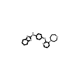 c1cnc(Oc2ccc(Nc3nc4ccccc4s3)cc2)c([C@H]2CCCOCC2)c1